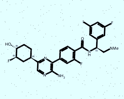 CNC[C@@H](NC(=O)c1ccc(-c2nc([C@@H]3CC[C@@H](O)[C@H](F)C3)cnc2N)cc1F)c1cc(F)cc(I)c1